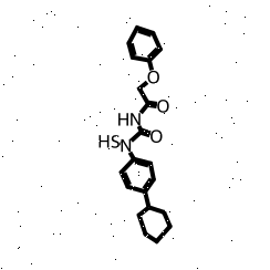 O=C(COc1ccccc1)NC(=O)N(S)c1ccc(C2CCCCC2)cc1